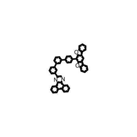 c1cc(-c2ccc(-c3c4oc5ccccc5c4cc4c3oc3ccccc34)cc2)cc(-c2cccc(-c3cnc4c5ccccc5c5ccccc5c4n3)c2)c1